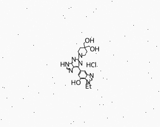 CCn1cnc2cc(-c3nc(N4CCC(CO)(CO)CC4)nc4[nH]cnc34)cc(O)c21.Cl